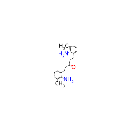 Cc1cccc(CCC(=O)CCc2cccc(C)c2N)c1N